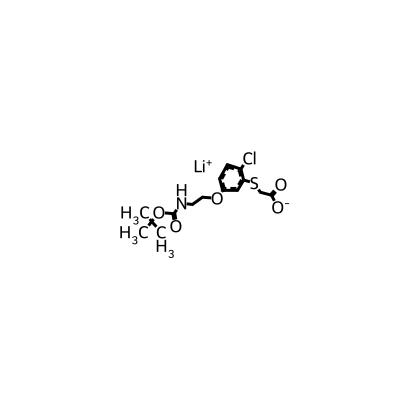 CC(C)(C)OC(=O)NCCOc1ccc(Cl)c(SCC(=O)[O-])c1.[Li+]